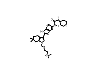 CCN(C(=O)[C@H](C)C1CCOCC1)c1cnc2[nH]c(-c3nn(COCC[Si](C)(C)C)c4c3CCC(C)(C)C4)nc2c1